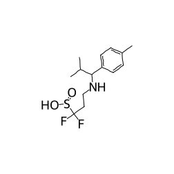 Cc1ccc(C(NCCC(F)(F)S(=O)O)C(C)C)cc1